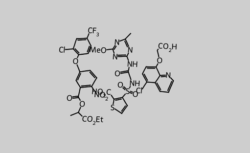 CCOC(=O)C(C)OC(=O)c1cc(Oc2ccc(C(F)(F)F)cc2Cl)ccc1[N+](=O)[O-].COc1nc(C)nc(NC(=O)NS(=O)(=O)c2ccsc2C(=O)O)n1.O=C(O)COc1ccc(Cl)c2cccnc12